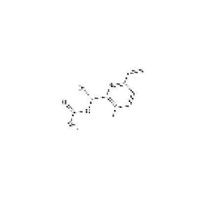 C=Cc1ccc(F)c(C(CC)OC(N)=O)n1